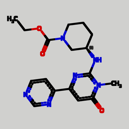 CCOC(=O)N1CCC[C@@H](Nc2nc(-c3ccncn3)cc(=O)n2C)C1